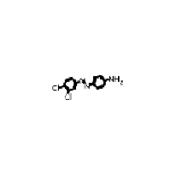 Nc1ccc(/N=N/c2ccc(Cl)c(Cl)c2)cc1